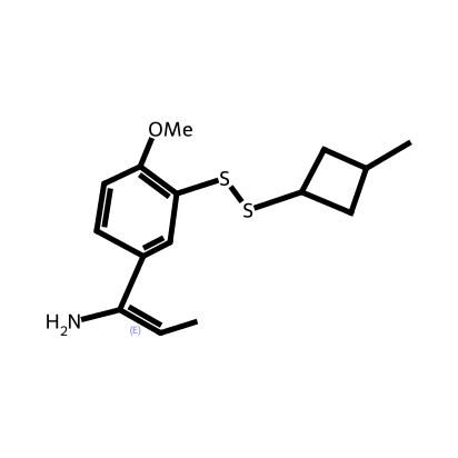 C/C=C(/N)c1ccc(OC)c(SSC2CC(C)C2)c1